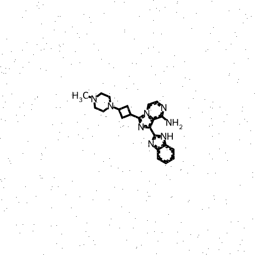 CN1CCN(C2CC(c3nc(-c4nc5ccccc5[nH]4)c4c(N)nccn34)C2)CC1